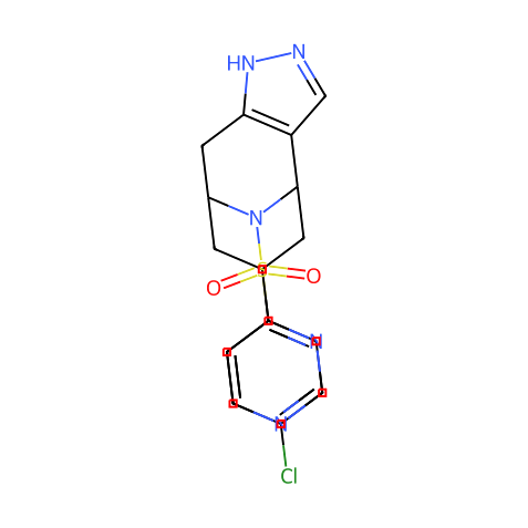 O=S(=O)(c1ccc(Cl)cc1)N1C2Cc3[nH]ncc3C1CC(c1ccncn1)C2